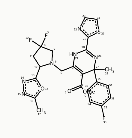 COC(=O)C1=C(CN2CC(F)(F)CC2c2nnc(C)o2)NC(c2nccs2)=NC1(C)c1ccc(F)cc1